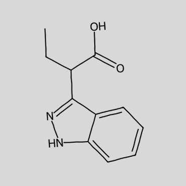 CCC(C(=O)O)c1n[nH]c2ccccc12